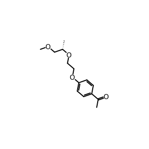 COC[C@H](C)OCCOc1ccc(C(C)=O)cc1